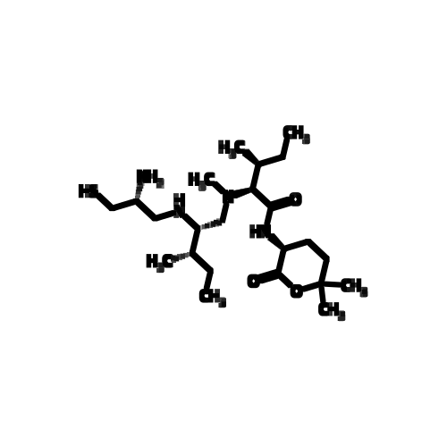 CC[C@H](C)[C@@H](C(=O)N[C@H]1CCC(C)(C)OC1=O)N(C)C[C@@H](NC[C@@H](N)CS)[C@@H](C)CC